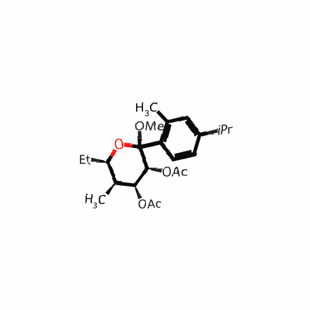 CC[C@H]1OC(OC)(c2ccc(C(C)C)cc2C)[C@@H](OC(C)=O)[C@@H](OC(C)=O)[C@H]1C